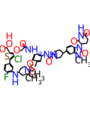 Cn1c(=O)n(C2CCC(=O)NC2=O)c2ccc(C3CCN(C(=O)Nc4cccc(CS(=O)(=O)N5CC[C@@H](Nc6cc(-c7sc(C(=O)O)c(OCC(N)=O)c7Cl)ccc6F)CC5(C)C)c4)CC3)cc21